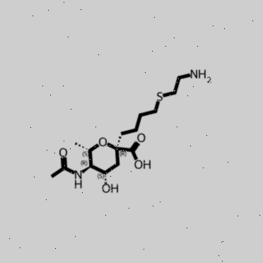 CC(=O)N[C@H]1[C@H](C)O[C@@](CCCCSCCN)(C(=O)O)C[C@@H]1O